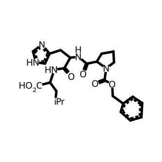 CC(C)CC(NC(=O)C(Cc1c[nH]cn1)NC(=O)C1CCCN1C(=O)OCc1ccccc1)C(=O)O